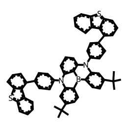 CC(C)(C)c1ccc2c(c1)N(c1ccc(-c3cccc4sc5ccccc5c34)cc1)c1cccc3c1B2c1ccc(C(C)(C)C)cc1N3c1ccc(-c2cccc3sc4ccccc4c23)cc1